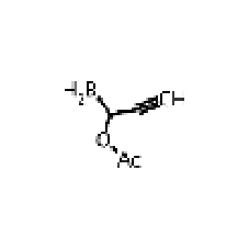 BC(C#C)OC(C)=O